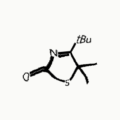 CC(C)(C)C1=NC(=O)SC1(C)C